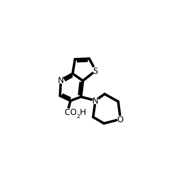 O=C(O)c1cnc2ccsc2c1N1CCOCC1